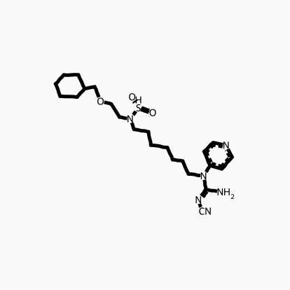 N#CN=C(N)N(CCCCCCCN(CCOCC1CCCCC1)[SH](=O)=O)c1ccncc1